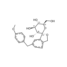 COc1ccc(Cc2ccc3c(c2)[C@]2(OC3)O[C@H](CO)[C@@H](O)[C@H](O)[C@H]2O)cc1